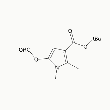 Cc1c(C(=O)OC(C)(C)C)cc(OC=O)n1C